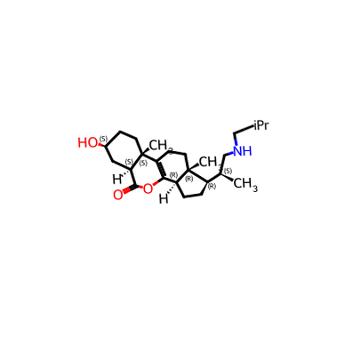 CC(C)CNC[C@@H](C)[C@H]1CC[C@H]2C3=C(CC[C@]12C)[C@@]1(C)CC[C@H](O)C[C@@H]1C(=O)O3